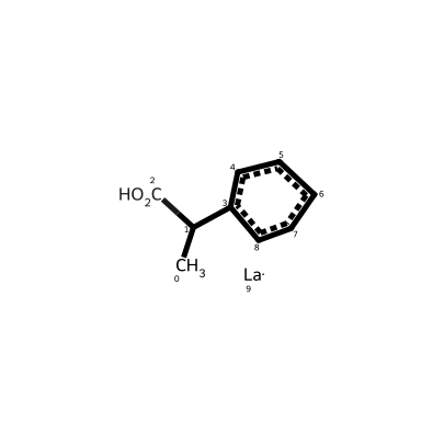 CC(C(=O)O)c1ccccc1.[La]